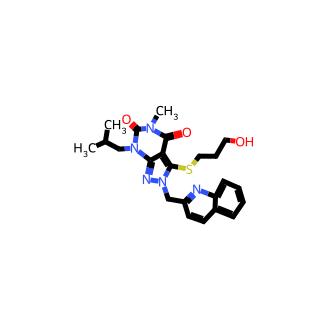 CC(C)Cn1c(=O)n(C)c(=O)c2c(SCCCO)n(Cc3ccc4ccccc4n3)nc21